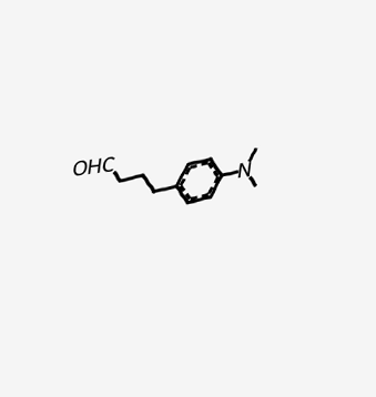 CN(C)c1ccc(CCCC=O)cc1